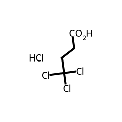 Cl.O=C(O)CCC(Cl)(Cl)Cl